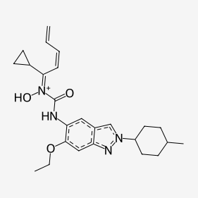 C=C/C=C\C(C1CC1)=[N+](\O)C(=O)Nc1cc2cn(C3CCC(C)CC3)nc2cc1OCC